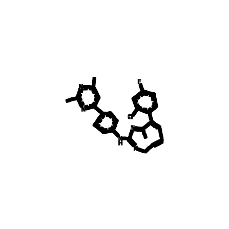 CC1=N\C(Nc2ccc(-c3cc(C)nc(C)n3)cc2)=N/C/C=C/C=C\1c1ccc(F)cc1Cl